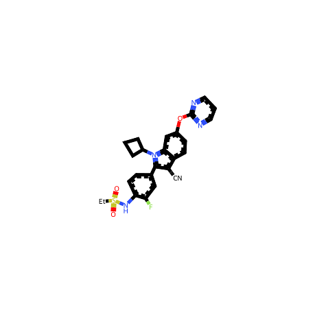 CCS(=O)(=O)Nc1ccc(-c2c(C#N)c3ccc(Oc4ncccn4)cc3n2C2CCC2)cc1F